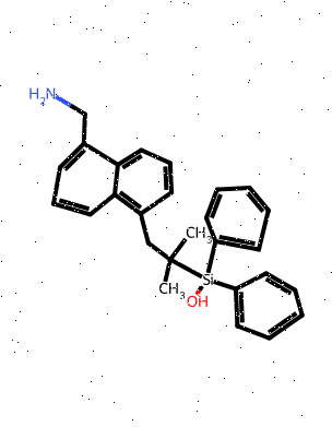 CC(C)(Cc1cccc2c(CN)cccc12)[Si](O)(c1ccccc1)c1ccccc1